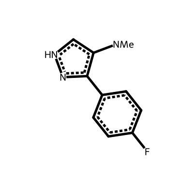 CNc1c[nH]nc1-c1ccc(F)cc1